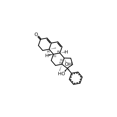 C[C@]12CC[C@H]3[C@@H](C=CC4=CC(=O)CC[C@@]43C)[C@@]1(O)CC[C@]2(O)c1ccccc1